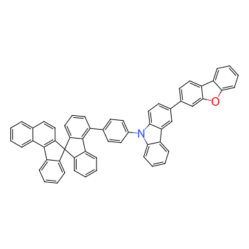 c1ccc2c(c1)-c1c(-c3ccc(-n4c5ccccc5c5cc(-c6ccc7c(c6)oc6ccccc67)ccc54)cc3)cccc1C21c2ccccc2-c2c1ccc1ccccc21